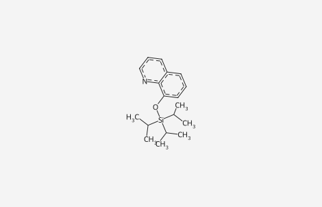 CC(C)[Si](Oc1cccc2cccnc12)(C(C)C)C(C)C